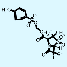 Cc1ccc(S(=O)(=O)OCOC(=O)[C@@H]2N3C(=O)C(Br)(I)[C@H]3S(=O)(=O)C2(C)C)cc1